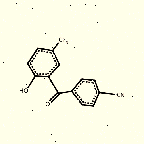 N#Cc1ccc(C(=O)c2cc(C(F)(F)F)ccc2O)cc1